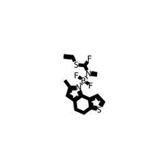 C=CSC(F)[N+](=C)[B-](F)(F)n1c(C)cc2c1-c1ccsc1CC2